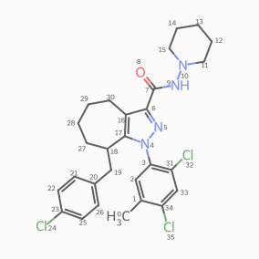 Cc1cc(-n2nc(C(=O)NN3CCCCC3)c3c2C(Cc2ccc(Cl)cc2)CCCC3)c(Cl)cc1Cl